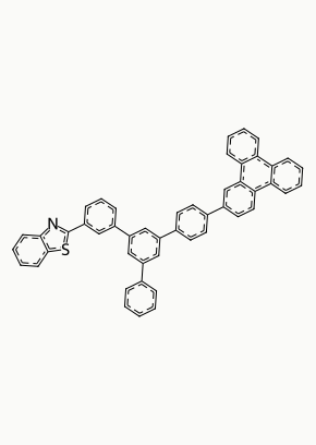 c1ccc(-c2cc(-c3ccc(-c4ccc5c6ccccc6c6ccccc6c5c4)cc3)cc(-c3cccc(-c4nc5ccccc5s4)c3)c2)cc1